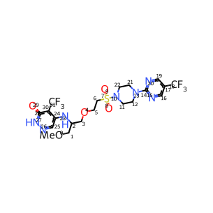 COCC(COCCS(=O)(=O)N1CCN(c2ncc(C(F)(F)F)cn2)CC1)Nc1cn[nH]c(=O)c1C(F)(F)F